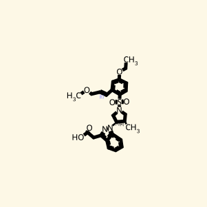 CCOc1ccc(S(=O)(=O)N2C[C@@H](C)[C@@H](n3nc(CC(=O)O)c4ccccc43)C2)c(/C=C/COC)c1